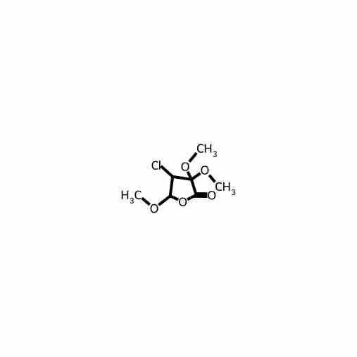 COC1OC(=O)C(OC)(OC)C1Cl